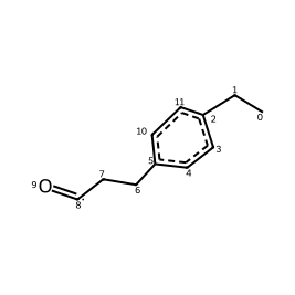 CCc1ccc(CC[C]=O)cc1